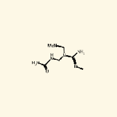 C/N=C(\N)N(CNC)CNC(N)=O